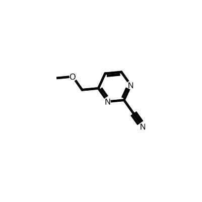 COCc1ccnc(C#N)n1